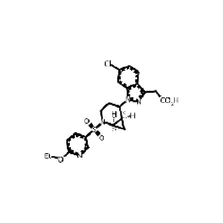 CCOc1ccc(S(=O)(=O)N2CCC(n3nc(CC(=O)O)c4ccc(Cl)cc43)[C@H]3C[C@H]32)cn1